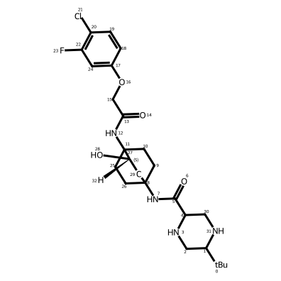 CC(C)(C)C1CNC(C(=O)NC23CCC(NC(=O)COc4ccc(Cl)c(F)c4)(CC2)[C@@H](O)C3)CN1